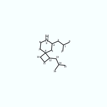 CC(C)CC1CC2(CCN1)CCC2CC(C)C